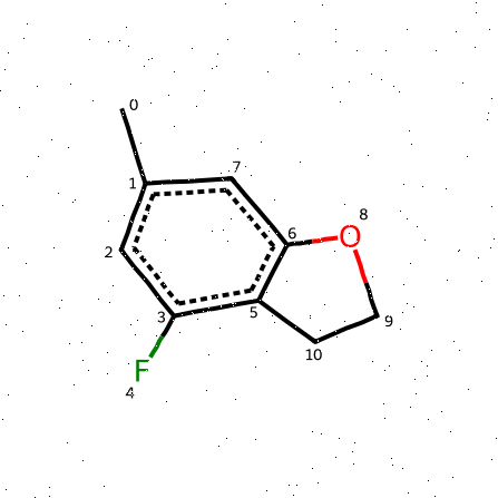 Cc1cc(F)c2c(c1)OCC2